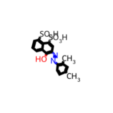 Cc1ccc(N=Nc2cc(S(=O)(=O)O)c3c(S(=O)(=O)O)cccc3c2O)c(C)c1